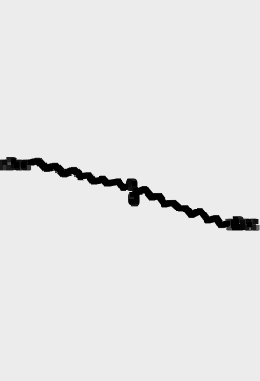 CCCCCCCCCCCCCCCCCCCCCCOC(=O)CCCCCCCCCCCCCCCCCCCCCC